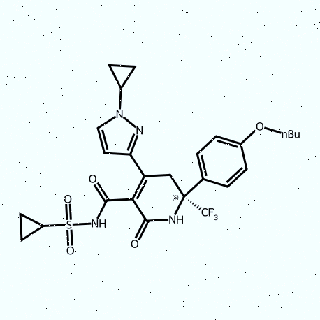 CCCCOc1ccc([C@]2(C(F)(F)F)CC(c3ccn(C4CC4)n3)=C(C(=O)NS(=O)(=O)C3CC3)C(=O)N2)cc1